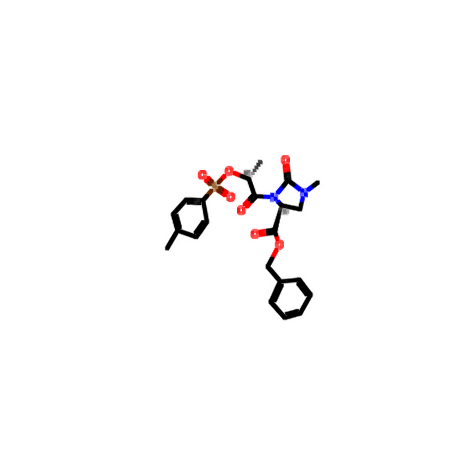 Cc1ccc(S(=O)(=O)O[C@H](C)C(=O)N2C(=O)N(C)C[C@H]2C(=O)OCc2ccccc2)cc1